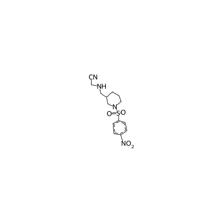 N#CCNCC1CCCN(S(=O)(=O)c2ccc([N+](=O)[O-])cc2)C1